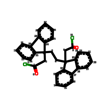 O=C(Cl)CC1(CCC2(CC(=O)Cl)c3ccccc3-c3ccccc32)c2ccccc2-c2ccccc21